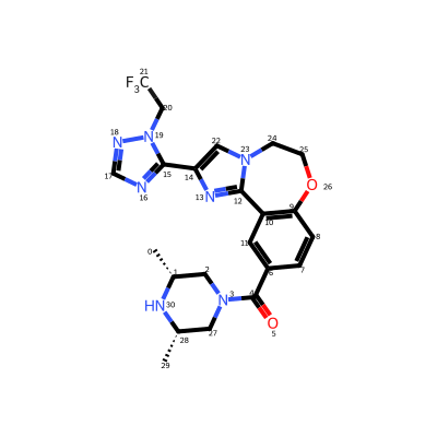 C[C@@H]1CN(C(=O)c2ccc3c(c2)-c2nc(-c4ncnn4CC(F)(F)F)cn2CCO3)C[C@H](C)N1